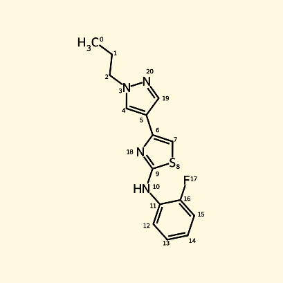 CCCn1cc(-c2csc(Nc3ccccc3F)n2)cn1